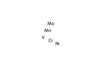 [Cr].[Mn].[Mo].[Ni].[V]